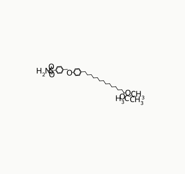 CC(C)(C)OC(=O)CCCCCCCCCCCCCc1ccc(OCc2ccc(S(N)(=O)=O)cc2)cc1